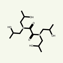 CC(O)CN(CC(C)O)C(=O)C(=O)N(CC(C)O)CC(C)O